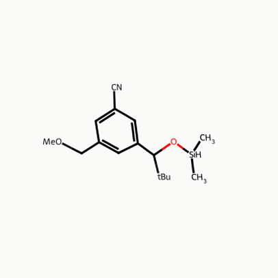 COCc1cc(C#N)cc(C(O[SiH](C)C)C(C)(C)C)c1